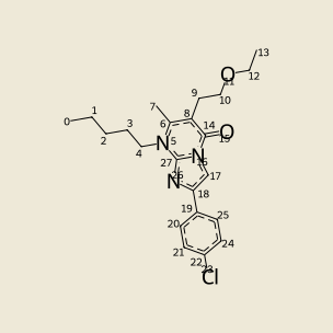 CCCCCn1c(C)c(CCOCC)c(=O)n2cc(-c3ccc(Cl)cc3)nc12